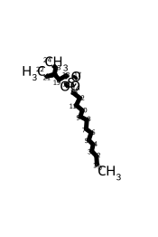 CCCCCCCCCCCCCCOS(=O)(=O)CCC(CC)CC